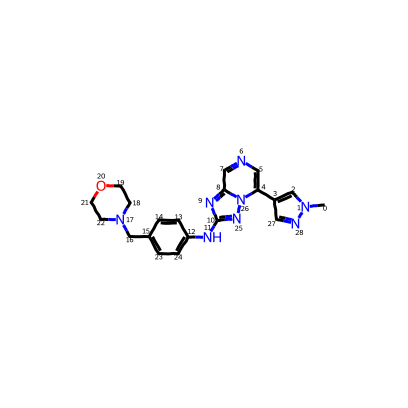 Cn1cc(-c2cncc3nc(Nc4ccc(CN5CCOCC5)cc4)nn23)cn1